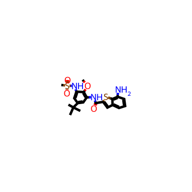 COc1c(NC(=O)c2cc3cccc(N)c3s2)cc(C(C)(C)C)cc1NS(C)(=O)=O